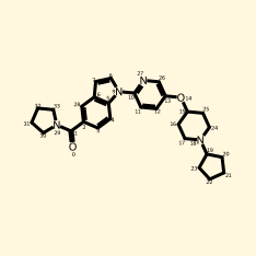 O=C(c1ccc2c(ccn2-c2ccc(OC3CCN(C4CCCC4)CC3)cn2)c1)N1CCCC1